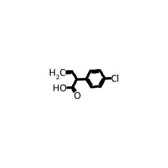 C=CC(C(=O)O)c1ccc(Cl)cc1